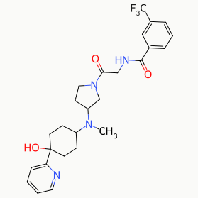 CN(C1CCC(O)(c2ccccn2)CC1)C1CCN(C(=O)CNC(=O)c2cccc(C(F)(F)F)c2)C1